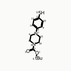 CC(C)(C)OC(=O)N1CCN(c2ccc(S)cc2)CC1